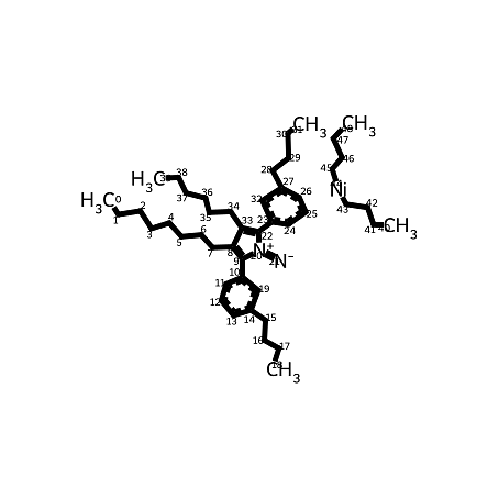 CCCCCCCCC1=C(c2cccc(CCCC)c2)[N+](=[N-])C(c2cccc(CCCC)c2)=C1CCCCCC.CCC[CH2][Ni][CH2]CCC